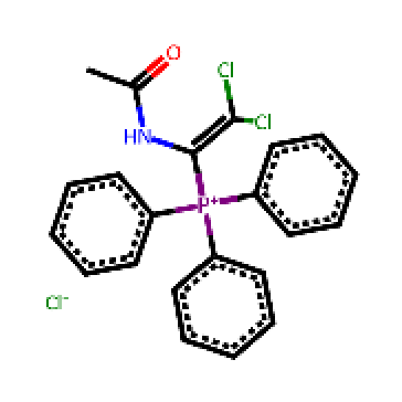 CC(=O)NC(=C(Cl)Cl)[P+](c1ccccc1)(c1ccccc1)c1ccccc1.[Cl-]